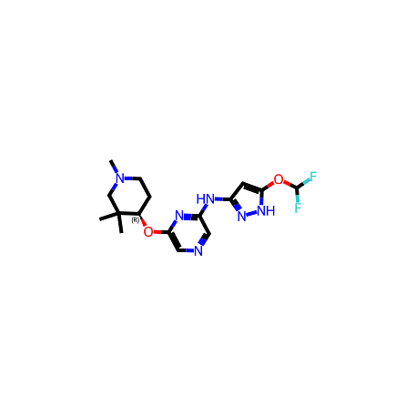 CN1CC[C@@H](Oc2cncc(Nc3cc(OC(F)F)[nH]n3)n2)C(C)(C)C1